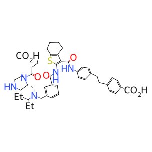 CCC(CC)N(Cc1cccc(C(=O)Nc2sc3c(c2C(=O)Nc2ccc(CCc4ccc(C(=O)O)cc4)cc2)CCCC3)c1)C[C@@H]1CNCCN1C(=O)CCC(=O)O